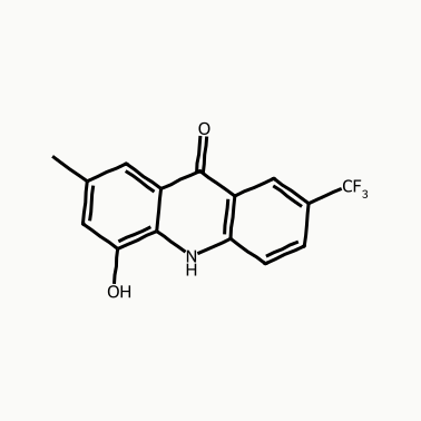 Cc1cc(O)c2[nH]c3ccc(C(F)(F)F)cc3c(=O)c2c1